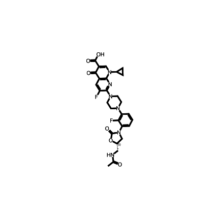 CC(=O)NC[C@H]1CN(c2cccc(N3CCN(c4nc5c(cc4F)c(=O)c(C(=O)O)cn5C4CC4)CC3)c2F)C(=O)O1